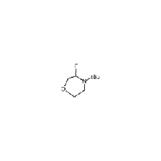 CC(C)(C)N1CCOCC1F